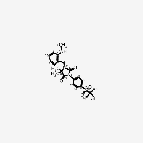 CNc1cnccc1CN1C(=O)N(c2ccc(S(=O)(=O)C(F)(F)F)cc2)C(=O)C1(C)C